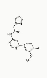 COc1cc(-c2cc(NC(=O)Cn3cccn3)ncn2)ccc1F